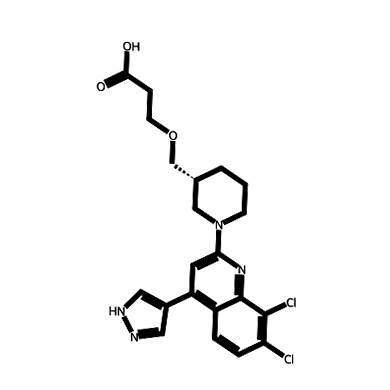 O=C(O)CCOC[C@@H]1CCCN(c2cc(-c3cn[nH]c3)c3ccc(Cl)c(Cl)c3n2)C1